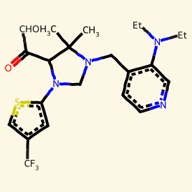 CCN(CC)c1cnccc1CN1CN(c2cc(C(F)(F)F)cs2)C(C(=O)C=O)C1(C)C